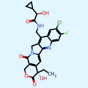 CC[C@@]1(O)C(=O)OCc2c1cc1n(c2=O)Cc2c-1nc1cc(F)c(Cl)cc1c2CNC(=O)[C@H](O)C1CC1